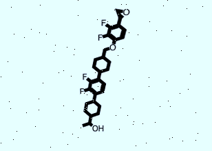 CC(O)C1CCC(c2ccc(C3CCC(COc4ccc(C5CO5)c(F)c4F)CC3)c(F)c2F)CC1